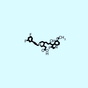 COc1ccc2ncc(F)c(C(O)CCC3CCN(CC#Cc4cc(F)cc(F)c4)CC3CC(=O)O)c2c1